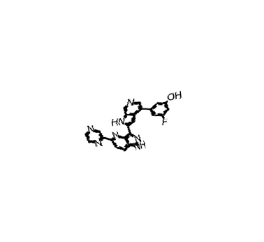 Oc1cc(F)cc(-c2cncc3[nH]c(-c4n[nH]c5ccc(-c6cnccn6)nc45)cc23)c1